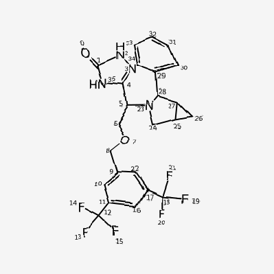 O=c1[nH]nc(C(COCc2cc(C(F)(F)F)cc(C(F)(F)F)c2)N2CC3CC3C2c2ccccc2)[nH]1